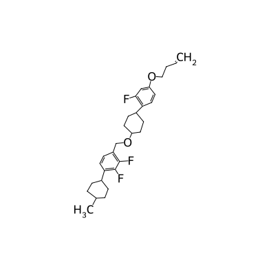 C=CCCOc1ccc(C2CCC(OCc3ccc(C4CCC(C)CC4)c(F)c3F)CC2)c(F)c1